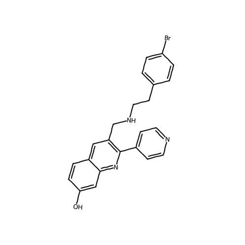 Oc1ccc2cc(CNCCc3ccc(Br)cc3)c(-c3ccncc3)nc2c1